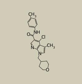 Cc1ccc(NC(=O)c2cnc3c(c(C)cn3CC3CCOCC3)c2Cl)cc1